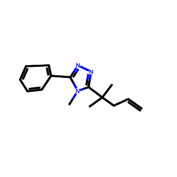 C=CCC(C)(C)c1nnc(-c2ccccc2)n1C